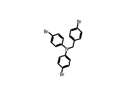 Brc1ccc(CN(c2ccc(Br)cc2)c2ccc(Br)cc2)cc1